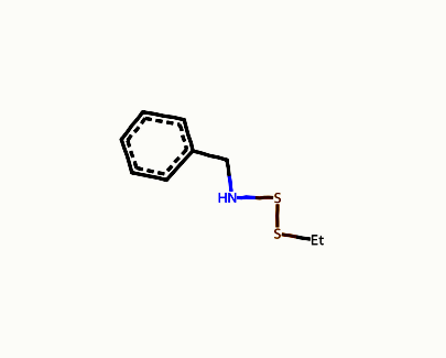 CCSSNCc1ccccc1